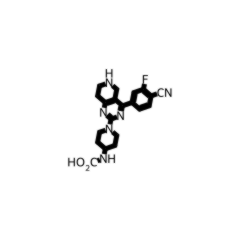 N#Cc1ccc(-c2nc(N3CCC(NC(=O)O)CC3)nc3c2CNCC3)cc1F